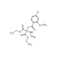 CCOC(=O)C(CC(=O)c1ccc(Cl)cc1OC)(NC=O)C(=O)OCC